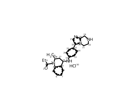 CCC(=O)N1c2ccccc2[C@H](Nc2ccc(-c3cnc4n3CCNC4)cc2)C[C@@H]1C.Cl